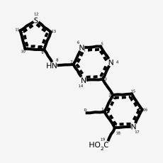 Cc1c(-c2ncnc(Nc3ccsc3)n2)ccnc1C(=O)O